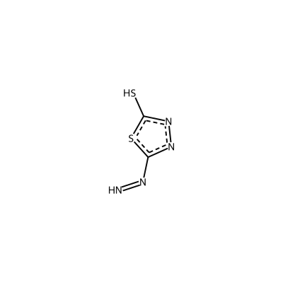 N=Nc1nnc(S)s1